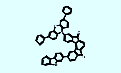 O=c1c2cc(N3c4ccc(-c5ccccc5)cc4Oc4cc(-c5ccccc5)ccc43)ccc2c2c1ccc1c(=O)c3ccc(-c4ccc5c(c4)[nH]c4ccccc45)cc3c12